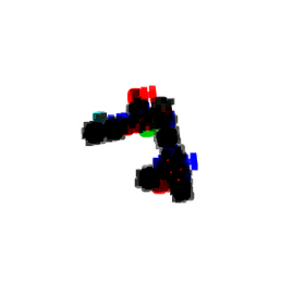 CC(C)[C@@H](C(=O)N1C[C@H](O)C[C@H]1C(=O)NOc1ccc(-c2ccccc2F)cc1)c1onc([C@H]2CC[C@H](N3CCC(c4cnc(N5C6CCC5CN(c5c[nH]c7nnc(-c8ccccc8O)cc57)C6)nc4)CC3)CC2)c1Cl